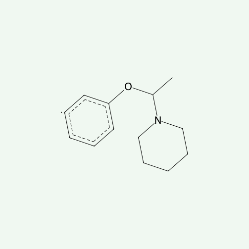 CC(Oc1c[c]ccc1)N1CCCCC1